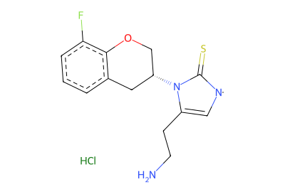 Cl.NCCC1=C[N]C(=S)N1[C@H]1COc2c(F)cccc2C1